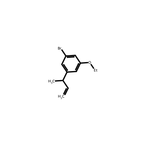 C=C[C](C)c1cc(Br)cc(OCC)c1